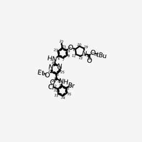 CCOc1nc(Nc2ccc(OC3CCN(C(=O)OC(C)(C)C)CC3)c(C)c2)ncc1C(=O)Nc1c(Cl)cccc1Br